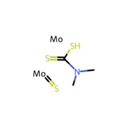 CN(C)C(=S)S.[Mo].[S]=[Mo]